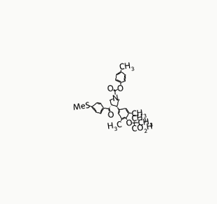 CSc1ccc(C(=O)[C@@H]2CN(C(=O)Oc3ccc(C)cc3)C[C@H]2c2cc(C)c(OC(C)(C)C(=O)O)c(C)c2)cc1